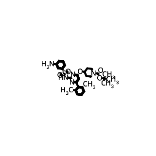 Cc1cccc(C)c1-c1cc(OC2CCN(C(=O)OC(C)(C)C)CC2)nc(NS(=O)(=O)c2cccc(N)c2)n1